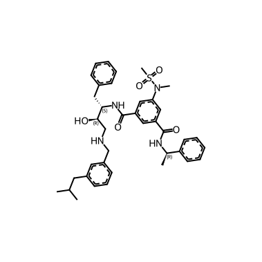 CC(C)Cc1cccc(CNC[C@@H](O)[C@H](Cc2ccccc2)NC(=O)c2cc(C(=O)N[C@H](C)c3ccccc3)cc(N(C)S(C)(=O)=O)c2)c1